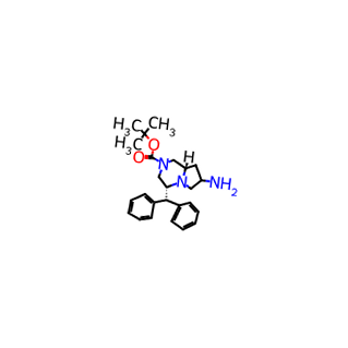 CC(C)(C)OC(=O)N1C[C@@H]2CC(N)CN2[C@H](C(c2ccccc2)c2ccccc2)C1